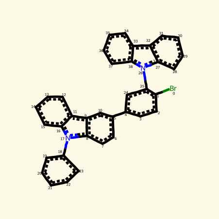 Brc1ccc(-c2ccc3c(c2)c2ccccc2n3-c2ccccc2)cc1-n1c2ccccc2c2ccccc21